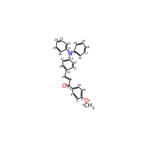 COc1ccc(C(=O)/C=C/c2ccc(N(c3ccccc3)c3ccccc3)cc2)cc1